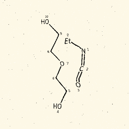 CCN=C=O.OCCOCCO